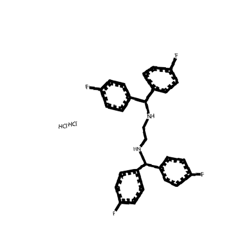 Cl.Cl.Fc1ccc(C(NCCNC(c2ccc(F)cc2)c2ccc(F)cc2)c2ccc(F)cc2)cc1